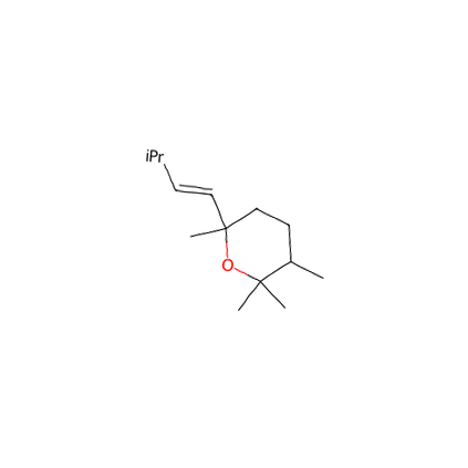 CC(C)/C=C/C1(C)CCC(C)C(C)(C)O1